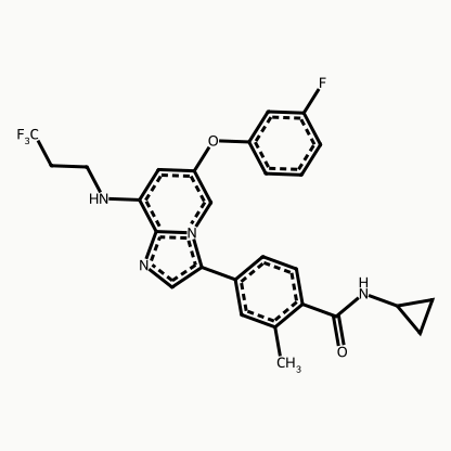 Cc1cc(-c2cnc3c(NCCC(F)(F)F)cc(Oc4cccc(F)c4)cn23)ccc1C(=O)NC1CC1